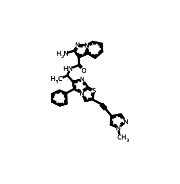 CC(NC(=O)c1c(N)nn2ccccc12)c1nc2sc(C#Cc3cnn(C)c3)cn2c1-c1ccccc1